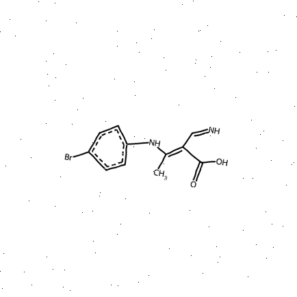 C/C(Nc1ccc(Br)cc1)=C(/C=N)C(=O)O